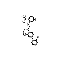 COC(=O)c1ccncc1NCC1CCOc2cc(-c3ccccc3F)ccc21